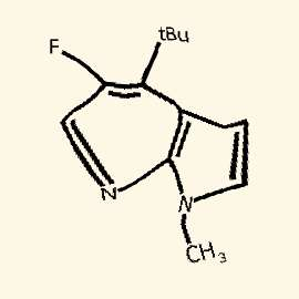 Cn1ccc2c(C(C)(C)C)c(F)cnc21